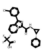 O=C(N[C@H]1C[C@@H]1c1ccccc1)c1nc(-c2cccc(Cl)c2)c2ccccn12.O=C(O)C(F)(F)F